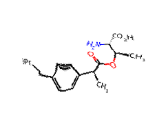 CC(C)Cc1ccc([C@H](C)C(=O)O[C@H](C)[C@H](N)C(=O)O)cc1